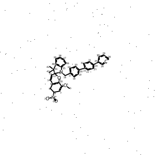 COC1=CC([N+](=O)[O-])CC2=C1OC1(C=C2)N(Cc2ccc(-c3ccc(-c4ccccc4)cc3)cc2)c2ccccc2C1(C)C